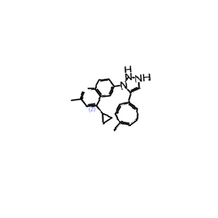 C=C(C)/C=C(\c1cc(N2NNC=C2C2=CCC=C(C)C=C2)ccc1C)C1CC1